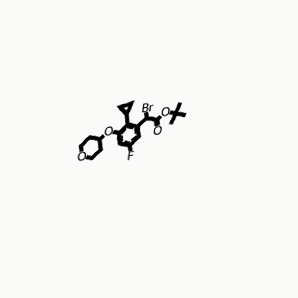 CC(C)(C)OC(=O)C(Br)c1cc(F)cc(OC2CCOCC2)c1C1CC1